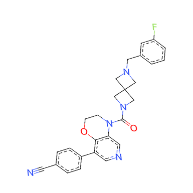 N#Cc1ccc(-c2cncc3c2OCCN3C(=O)N2CC3(CN(Cc4cccc(F)c4)C3)C2)cc1